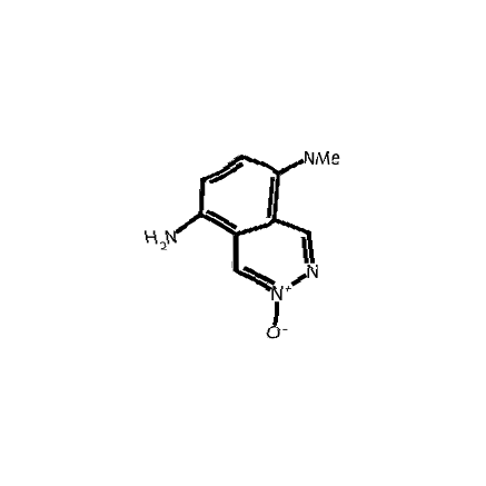 CNc1ccc(N)c2c[n+]([O-])ncc12